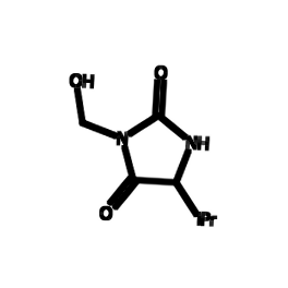 CC(C)C1NC(=O)N(CO)C1=O